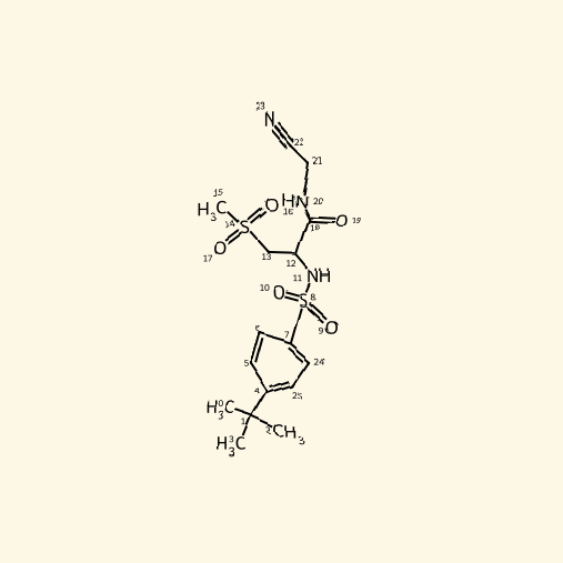 CC(C)(C)c1ccc(S(=O)(=O)NC(CS(C)(=O)=O)C(=O)NCC#N)cc1